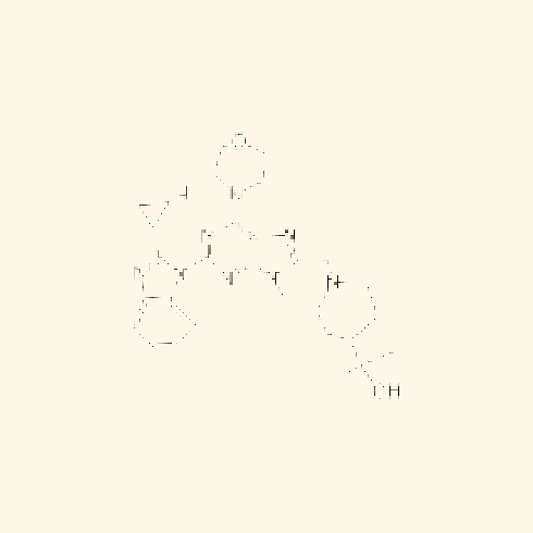 Cn1c(CN2CCC(C(C)(C)O)CC2)nc2c(N3CCOCC3)nc(-n3c([C@@H]4C[C@@H]4F)nc4ccccc43)nc21